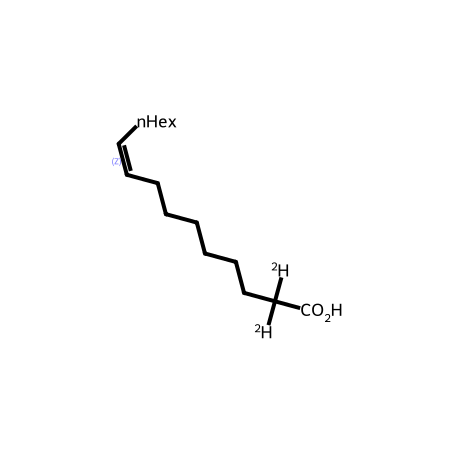 [2H]C([2H])(CCCCCC/C=C\CCCCCC)C(=O)O